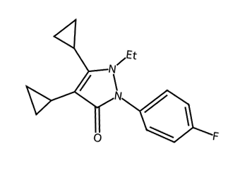 CCn1c(C2CC2)c(C2CC2)c(=O)n1-c1ccc(F)cc1